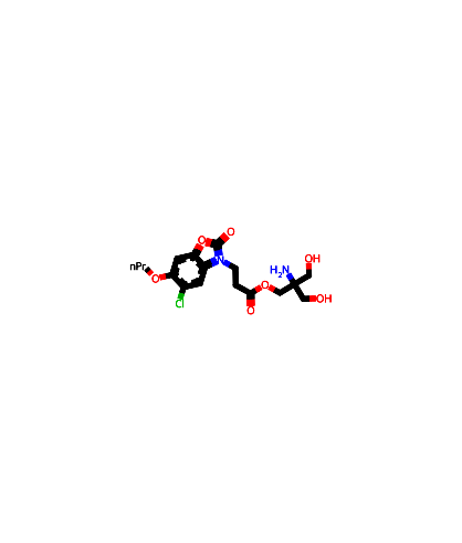 CCCOc1cc2oc(=O)n(CCC(=O)OCC(N)(CO)CO)c2cc1Cl